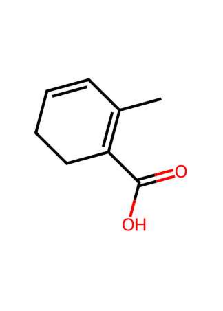 CC1=C(C(=O)O)CCC=C1